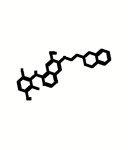 COc1cc2c(Nc3c(F)ccc(O)c3C)ncnc2cc1OCCN1CCc2ccccc2C1